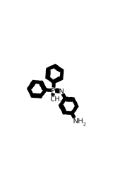 CP(=NC1=CCC(N)C=C1)(c1ccccc1)c1ccccc1